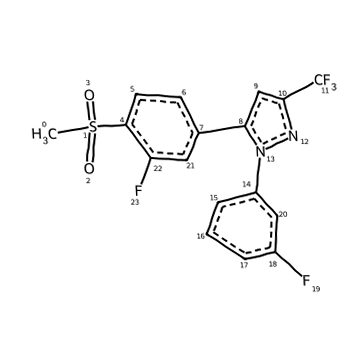 CS(=O)(=O)c1ccc(-c2cc(C(F)(F)F)nn2-c2cccc(F)c2)cc1F